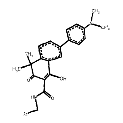 CC(=O)CNC(=O)C1=C(O)c2cc(-c3ccc(N(C)C)cc3)ccc2C(C)(C)C1=O